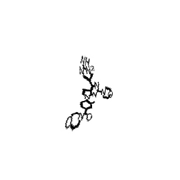 Cc1cc(C(=O)N2CCOCC2)ccc1-n1ccc2c(-c3cnc(N)nc3)nc(N3CCOCC3)nc21